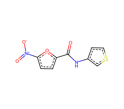 O=C(Nc1ccsc1)c1ccc([N+](=O)[O-])o1